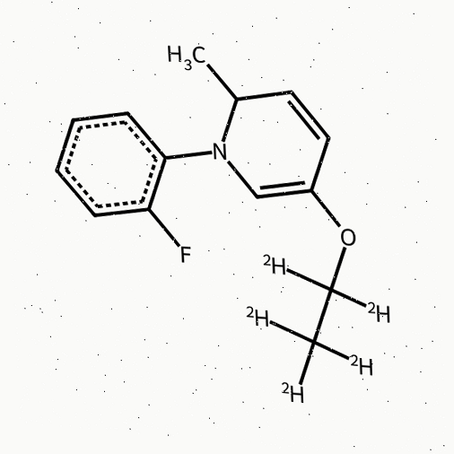 [2H]C([2H])([2H])C([2H])([2H])OC1=CN(c2ccccc2F)C(C)C=C1